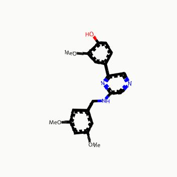 COc1cc(CNc2cncc(-c3ccc(O)c(OC)c3)n2)cc(OC)c1